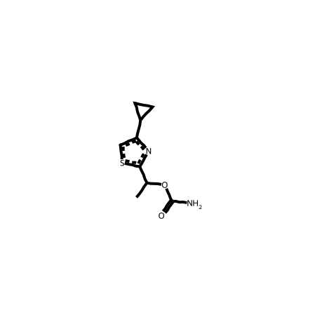 CC(OC(N)=O)c1nc(C2CC2)cs1